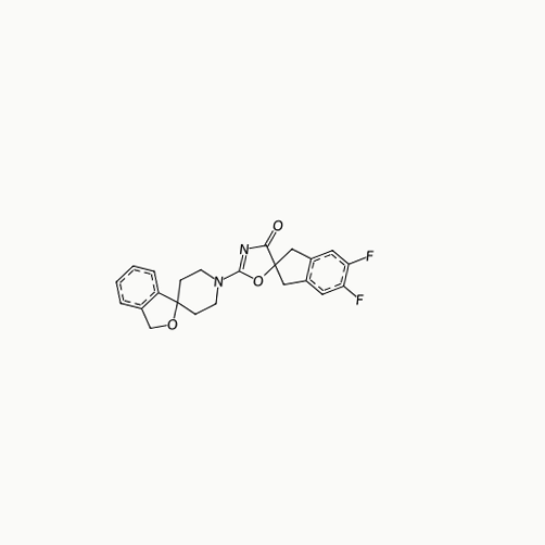 O=C1N=C(N2CCC3(CC2)OCc2ccccc23)OC12Cc1cc(F)c(F)cc1C2